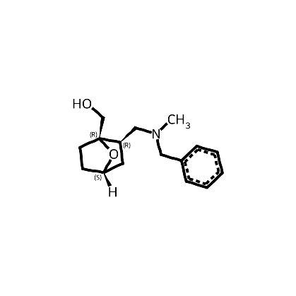 CN(Cc1ccccc1)C[C@H]1C[C@@H]2CC[C@@]1(CO)O2